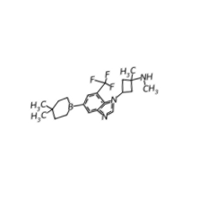 CNC1(C)CC(n2cnc3cc(B4CCC(C)(C)CC4)cc(C(F)(F)F)c32)C1